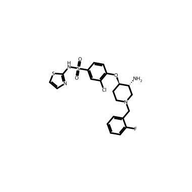 N[C@@H]1CN(Cc2ccccc2F)CC[C@H]1Oc1ccc(S(=O)(=O)Nc2nccs2)cc1Cl